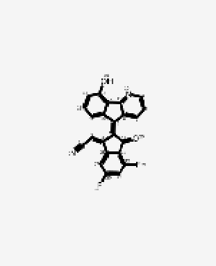 N#C/C=C1/C(=C2/c3cccnc3-c3c(O)cccc32)C(=O)c2c(F)cc(F)cc21